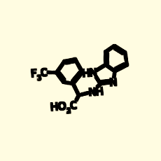 O=C(O)C(Nc1nc2ccccc2[nH]1)c1cccc(C(F)(F)F)c1